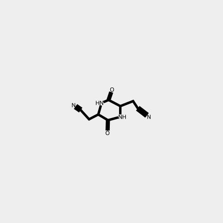 N#CCC1NC(=O)C(CC#N)NC1=O